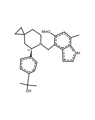 COc1cc(C)c2[nH]ccc2c1CN1CCC2(CC2)C[C@@H]1c1ccc(C(C)(C)O)cc1